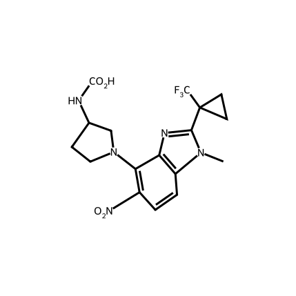 Cn1c(C2(C(F)(F)F)CC2)nc2c(N3CCC(NC(=O)O)C3)c([N+](=O)[O-])ccc21